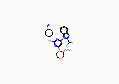 C[C@H]1COCCN1c1cc(-n2c(C(F)F)nc3ccccc32)nc(N[C@H]2CC[C@H](N)CC2)n1